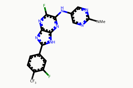 CNc1ncc(Nc2nc3[nH]c(-c4ccc(C(F)(F)F)c(F)c4)nc3nc2F)cn1